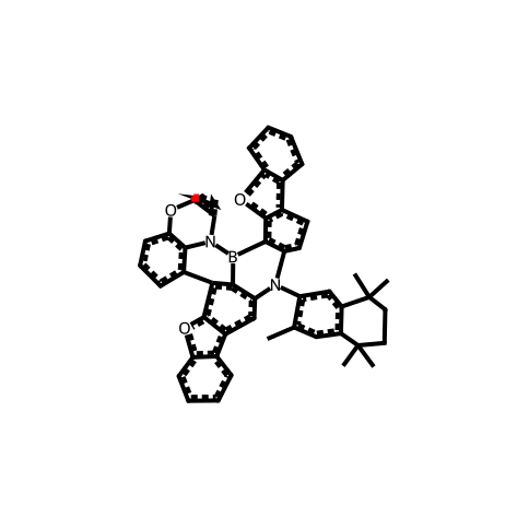 Cc1cc2c(cc1N1c3cc4c(oc5ccccc54)c4c3B(c3c1ccc1c3oc3ccccc31)N1c3ccccc3Oc3cccc-4c31)C(C)(C)CCC2(C)C